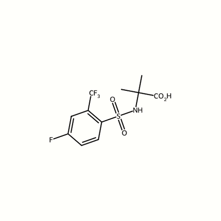 CC(C)(NS(=O)(=O)c1ccc(F)cc1C(F)(F)F)C(=O)O